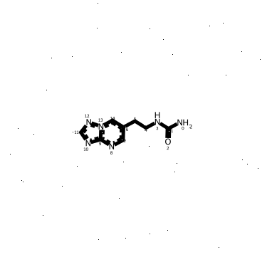 NC(=O)NCCc1cnc2ncnn2c1